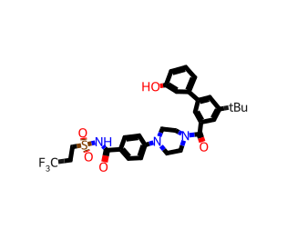 CC(C)(C)c1cc(C(=O)N2CCN(c3ccc(C(=O)NS(=O)(=O)CCC(F)(F)F)cc3)CC2)cc(-c2cccc(O)c2)c1